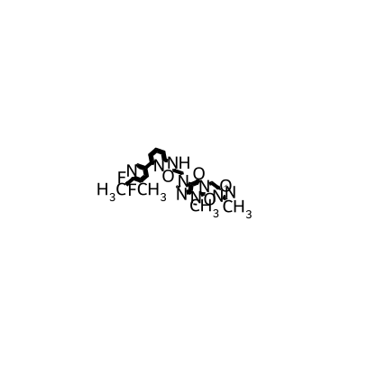 Cc1noc(Cn2c(=O)c3c(ncn3CC(=O)Nc3cccc(-c4cnc(C(C)(F)F)c(C)c4)n3)n(C)c2=O)n1